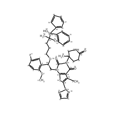 COc1ccc(F)cc1[C@H](Cn1c(=O)n(C2(C)CCC(=O)NC2)c(=O)c2c(C)c(-n3nccn3)sc21)OCCCC(C)(C)[Si](O)(c1ccccc1)c1ccccc1